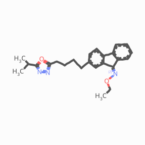 CCO/N=C1/c2ccccc2-c2ccc(CCCCc3nnc(C(C)C)o3)cc21